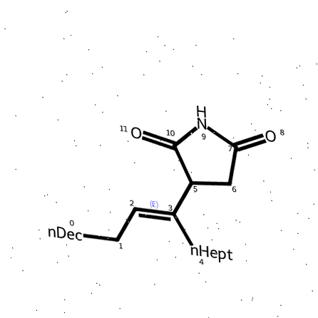 CCCCCCCCCCC/C=C(\CCCCCCC)C1CC(=O)NC1=O